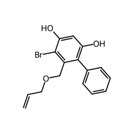 C=CCOCc1c(Br)c(O)cc(O)c1-c1ccccc1